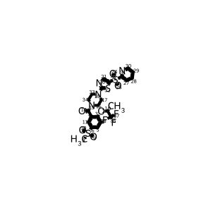 CC(Oc1ccc(S(C)(=O)=O)cc1C(=O)N1CCN(c2ncc(S(=O)(=O)c3ccccn3)s2)CC1)C(F)(F)F